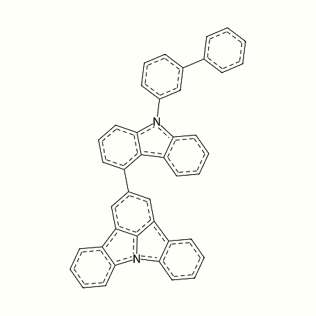 c1ccc(-c2cccc(-n3c4ccccc4c4c(-c5cc6c7ccccc7n7c8ccccc8c(c5)c67)cccc43)c2)cc1